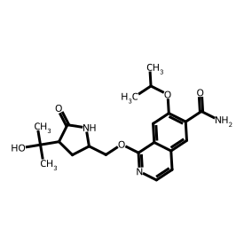 CC(C)Oc1cc2c(OCC3CC(C(C)(C)O)C(=O)N3)nccc2cc1C(N)=O